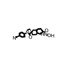 N#Cc1ccc(N2CC[C@@]3(CCc4cc(C(=O)NO)ccc4C3)C2=O)cc1